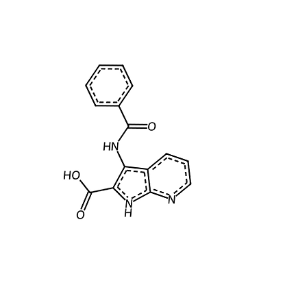 O=C(Nc1c(C(=O)O)[nH]c2ncccc12)c1ccccc1